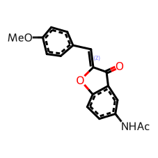 COc1ccc(/C=C2\Oc3ccc(NC(C)=O)cc3C2=O)cc1